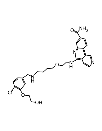 NC(=O)c1ccc2c(c1)nc(NCCOCCCCNCc1ccc(Cl)c(OCCO)c1)c1ccncc12